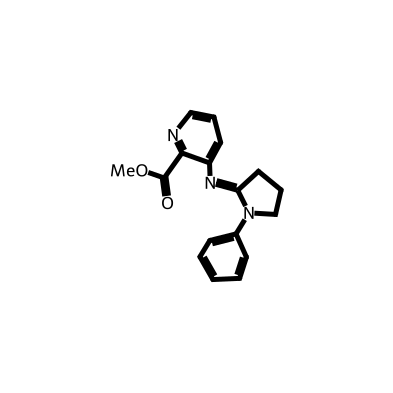 COC(=O)c1ncccc1N=C1CCCN1c1ccccc1